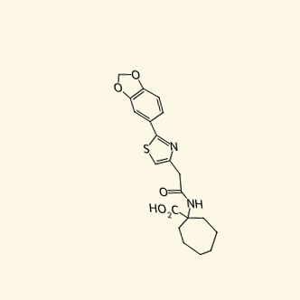 O=C(Cc1csc(-c2ccc3c(c2)OCO3)n1)NC1(C(=O)O)CCCCCC1